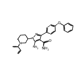 C=CC(=C)N1CCCC(n2nc(-c3ccc(Oc4ccccc4)cc3)c(C(N)=O)c2N)C1